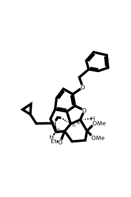 CCOC12CCC(OC)(OC)[C@@H]3Oc4c(OCc5ccccc5)ccc5c4[C@@]31CCN(CC1CC1)[C@@H]2C5